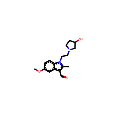 COc1ccc2c(c1)c(C=O)c(C)n2CCN1CCC(O)C1